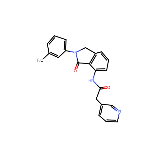 O=C(Cc1cccnc1)Nc1cccc2c1C(=O)N(c1cccc(C(F)(F)F)c1)C2